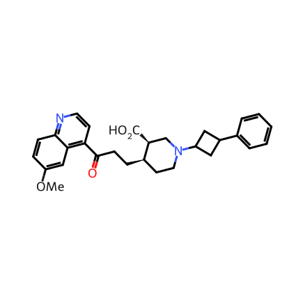 COc1ccc2nccc(C(=O)CC[C@@H]3CCN(C4CC(c5ccccc5)C4)C[C@@H]3C(=O)O)c2c1